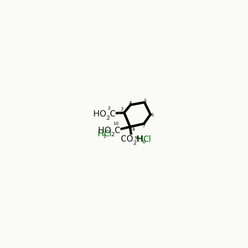 Cl.Cl.O=C(O)C1CCCCC1(C(=O)O)C(=O)O